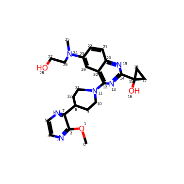 COc1nccnc1C1CCN(c2nc(C3(O)CC3)nc3ccc(N(C)CCO)cc23)CC1